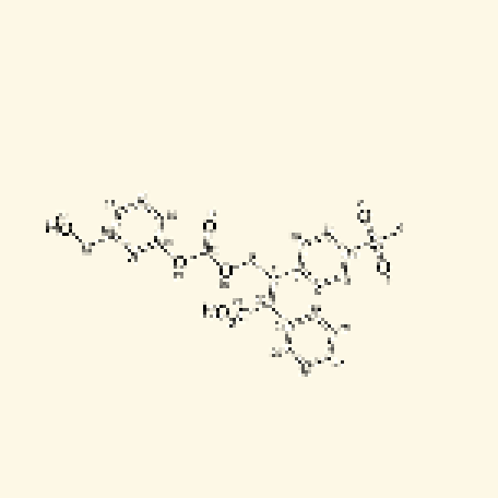 CS(=O)(=O)c1ccc(/C(COC(=O)Oc2cccc(CO)c2)=C(/C(=O)O)c2ccccc2)cc1